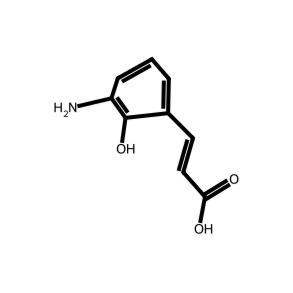 Nc1cccc(C=CC(=O)O)c1O